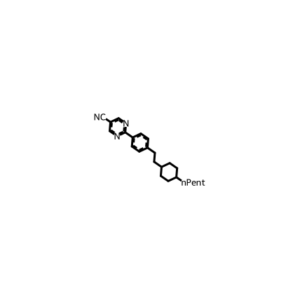 CCCCCC1CCC(CCc2ccc(-c3ncc(C#N)cn3)cc2)CC1